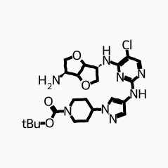 CC(C)(C)OC(=O)N1CCC(n2cc(Nc3ncc(Cl)c(N[C@@H]4COC5C4OC[C@@H]5N)n3)cn2)CC1